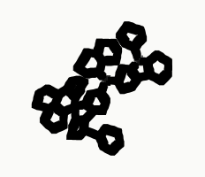 C1=Cc2c(n(-c3ccccc3)c3cc(N(c4ccc5c(c4)C4(c6ccccc6-c6cccc7cccc4c67)c4cccc(-c6ccccc6)c4-5)c4cccc5ccccc45)ccc23)CC1